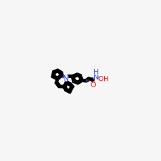 O=C(/C=C/c1ccc(CN2c3ccccc3C=Cc3ccccc32)cc1)NO